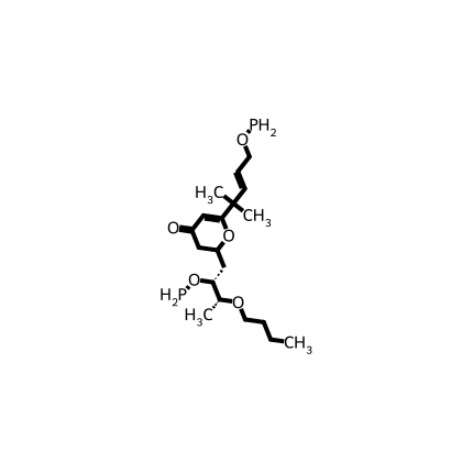 CCCCO[C@H](C)[C@@H](CC1CC(=O)C=C(C(C)(C)/C=C/COP)O1)OP